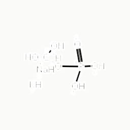 O=C(O)O.O=P(O)(O)O.[KH].[NaH]